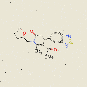 COC(=O)C1=C(C)N(C[C@H]2CCCO2)C(=O)C[C@H]1c1ccc2nsnc2c1